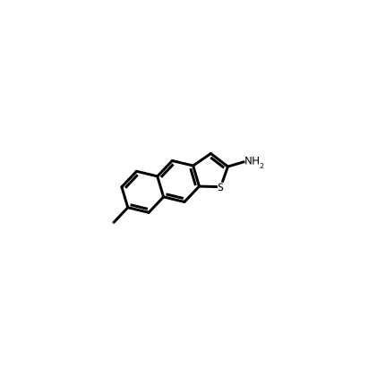 Cc1ccc2cc3cc(N)sc3cc2c1